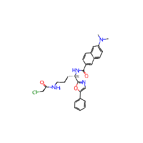 CN(C)c1ccc2cc(C(=O)N[C@@H](CCCNC(=O)CCl)c3ncc(-c4ccccc4)o3)ccc2c1